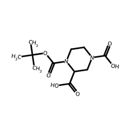 CC(C)(C)OC(=O)N1CCN(C(=O)O)CC1C(=O)O